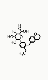 CCc1ccc([C@@H]2OC(C(O)O)[C@@H](O)[C@H](O)[C@H]2O)cc1Cc1ccc2c(c1)CCCO2